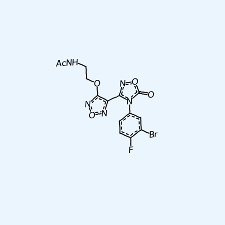 CC(=O)NCCOc1nonc1-c1noc(=O)n1-c1ccc(F)c(Br)c1